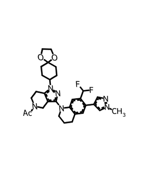 CC(=O)N1CCc2c(c(N3CCCc4cc(-c5cnn(C)c5)c(C(F)F)cc43)nn2C2CCC3(CC2)OCCO3)C1